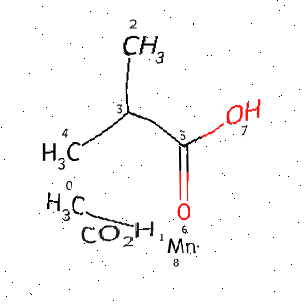 CC(=O)O.CC(C)C(=O)O.[Mn]